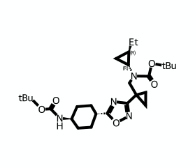 CC[C@@H]1C[C@H]1N(CC1(c2noc([C@H]3CC[C@H](NC(=O)OC(C)(C)C)CC3)n2)CC1)C(=O)OC(C)(C)C